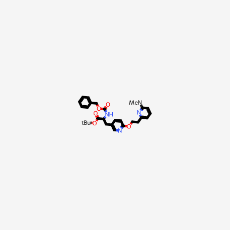 CNc1cccc(CCOc2ccc(CC(NC(=O)OCc3ccccc3)C(=O)OC(C)(C)C)cn2)n1